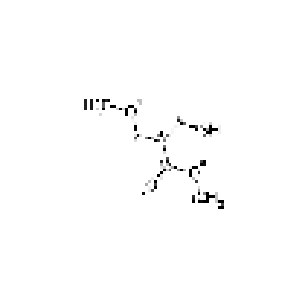 COCC(CS)C(=O)OC